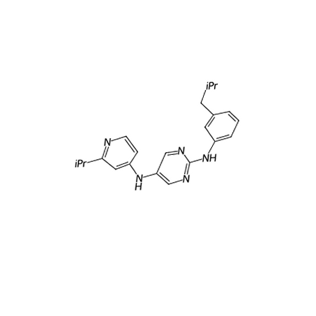 CC(C)Cc1cccc(Nc2ncc(Nc3ccnc(C(C)C)c3)cn2)c1